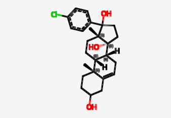 C[C@]12CCC(O)CC1=CC[C@@H]1[C@H]2CC[C@]2(C)C(O)(c3ccc(Cl)cc3)CC[C@@]12O